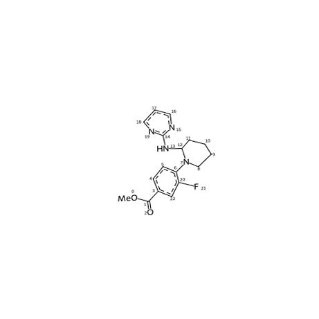 COC(=O)c1ccc(N2CCCCC2Nc2ncccn2)c(F)c1